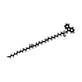 CCCCCCCCCCCCCCCCNCCCCCCCCC=CCCCCCCCCC(=O)OCC1c2ccccc2-c2ccccc21